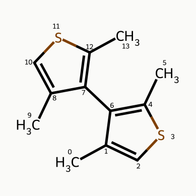 Cc1csc(C)c1-c1c(C)csc1C